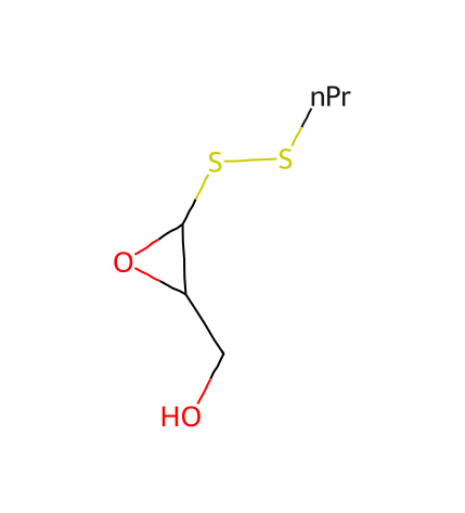 CCCSSC1OC1CO